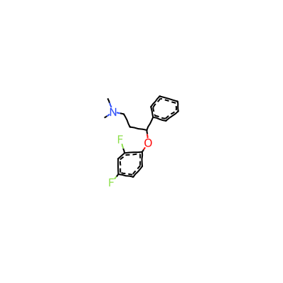 CN(C)CCC(Oc1ccc(F)cc1F)c1ccccc1